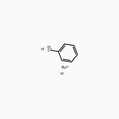 Cc1ccccc1.[H-].[H-].[Ru+2]